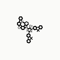 CCc1c(-c2ccc3c(c2)C(C)(C)c2ccccc2-3)nc(-c2ccc3c(c2)C(C)(C)c2ccccc2-3)nc1-n1c2c3c(n4c5ccccc5c5ccc6oc7ccc1c3c7c6c54)CCC=2